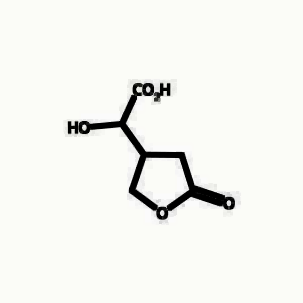 O=C1CC(C(O)C(=O)O)CO1